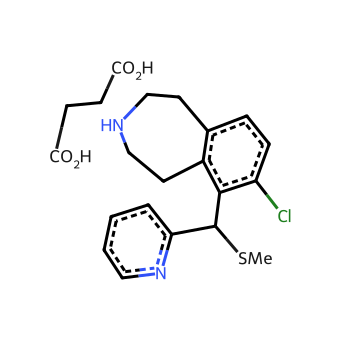 CSC(c1ccccn1)c1c(Cl)ccc2c1CCNCC2.O=C(O)CCC(=O)O